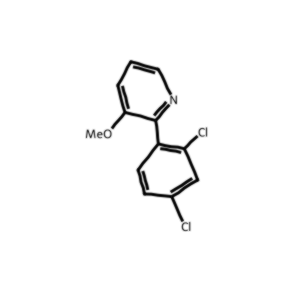 COc1cccnc1-c1ccc(Cl)cc1Cl